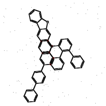 c1ccc(-c2ccc(-c3ccc(N(c4ccc5c(c4)oc4ccccc45)c4cccc(-c5ccccc5)c4-c4ccccc4-c4ccccc4)cc3)cc2)cc1